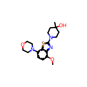 COc1ccc(N2CCOCC2)c2sc(N3CCC(C)(O)CC3)nc12